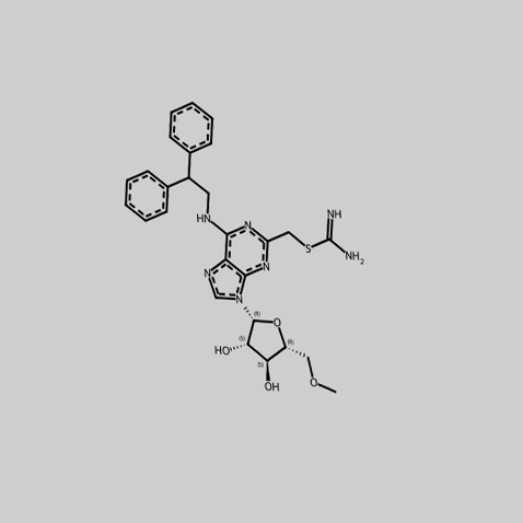 COC[C@H]1O[C@@H](n2cnc3c(NCC(c4ccccc4)c4ccccc4)nc(CSC(=N)N)nc32)[C@@H](O)[C@@H]1O